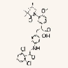 COc1ccc(C(Cc2ccc(NCC(=O)c3c(Cl)cccc3Cl)cc2)C(=O)O)cc1N(CC(C)C)C(=O)C(C)(C)C